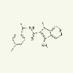 Cc1ccc(C(C)NC(=O)c2c(N)c3ccccc3n2C)cc1